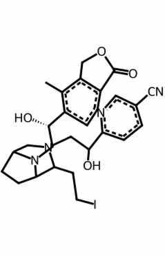 Cc1c([C@@H](O)CN2C3CCC2C(CCI)N(CC(O)c2ccc(C#N)cn2)C3)ccc2c1COC2=O